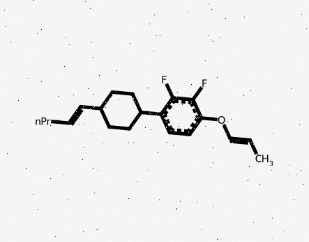 C/C=C/Oc1ccc(C2CCC(/C=C/CCC)CC2)c(F)c1F